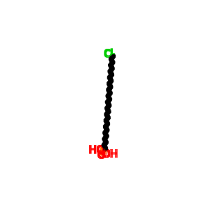 O=P(O)(O)CCCCCCCCCCCCCCCCCCCCCCCCCCCCCCCCl